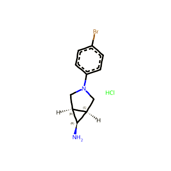 Cl.N[C@H]1[C@H]2CN(c3ccc(Br)cc3)C[C@@H]12